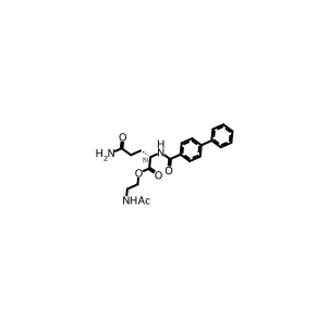 CC(=O)NCCOC(=O)[C@H](CCC(N)=O)NC(=O)c1ccc(-c2ccccc2)cc1